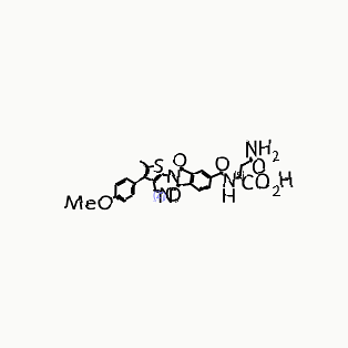 C/N=C\c1c(N2C(=O)c3ccc(C(=O)N[C@@H](CC(N)=O)C(=O)O)cc3C2=O)sc(C)c1-c1ccc(OC)cc1